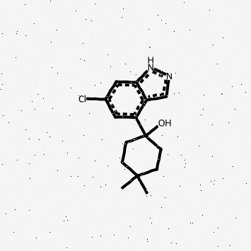 CC1(C)CCC(O)(c2cc(Cl)cc3[nH]ncc23)CC1